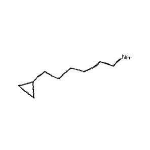 [NH]CCCCCCC1CC1